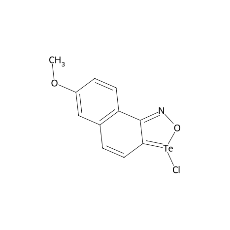 COc1ccc2c3c(ccc2c1)=[Te](Cl)ON=3